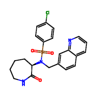 O=C1NCCCC[C@H]1N(Cc1ccc2cccnc2c1)S(=O)(=O)c1ccc(Cl)cc1